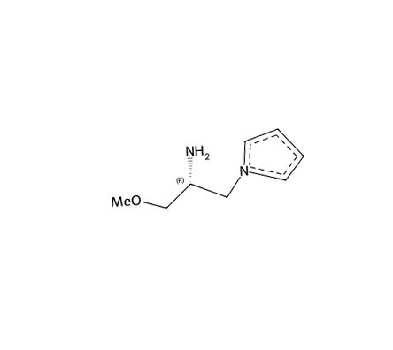 COC[C@H](N)Cn1cccc1